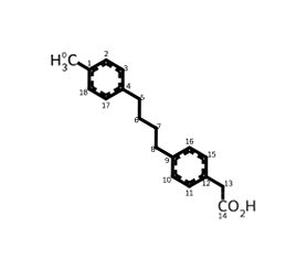 Cc1ccc(CCCCc2ccc(CC(=O)O)cc2)cc1